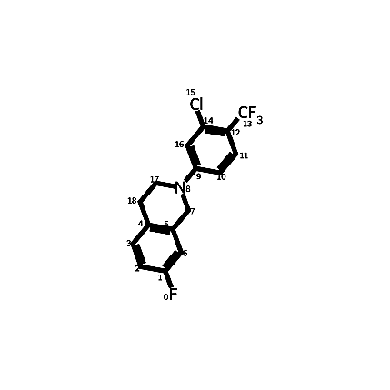 Fc1ccc2c(c1)CN(c1ccc(C(F)(F)F)c(Cl)c1)CC2